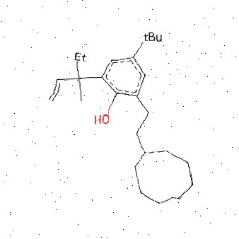 C=CC(C)(CC)c1cc(C(C)(C)C)cc(CCC2CCCCCCC2)c1O